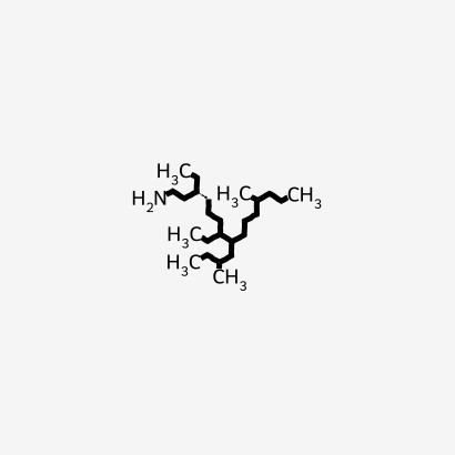 CCCC(C)CCCC(CC(C)CC)C(CC)CCC[C@@H](CC)CCN